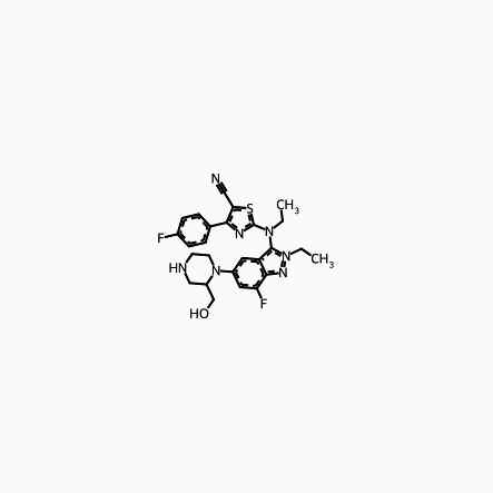 CCN(c1nc(-c2ccc(F)cc2)c(C#N)s1)c1c2cc(N3CCNCC3CO)cc(F)c2nn1CC